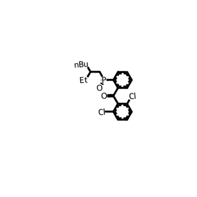 CCCCC(CC)C[P](=O)c1ccccc1C(=O)c1c(Cl)cccc1Cl